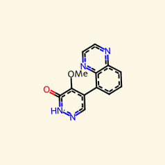 COc1c(-c2cccc3nccnc23)cn[nH]c1=O